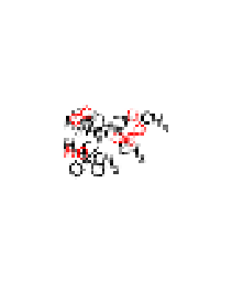 CC(=O)O[C@H]1CC[C@](C)(C2CC[C@@]3(C)C(CCC34OCCO4)[C@@H]2CCCC(C)(C)[Si](O)(c2ccccc2)c2ccccc2)[C@@H](OC(C)=O)C1